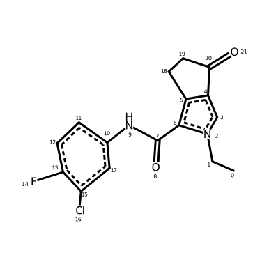 CCn1cc2c(c1C(=O)Nc1ccc(F)c(Cl)c1)CCC2=O